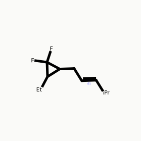 CCC1C(C/C=C/C(C)C)C1(F)F